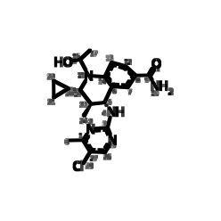 Cc1nc(N[C@H]2c3cc(C(N)=O)ccc3N(C(C)O)[C@@H](C3CC3)[C@@H]2C)ncc1Cl